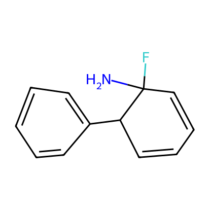 NC1(F)C=CC=CC1c1ccccc1